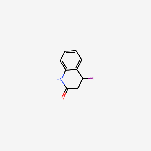 O=C1CC(I)c2ccccc2N1